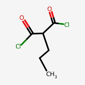 CCCC(C(=O)Cl)C(=O)Cl